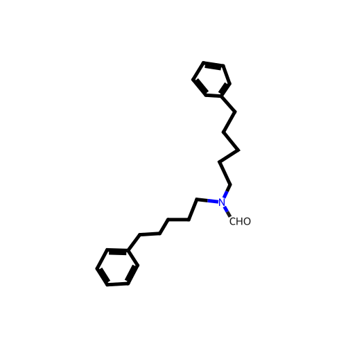 O=CN(CCCCCc1ccccc1)CCCCCc1ccccc1